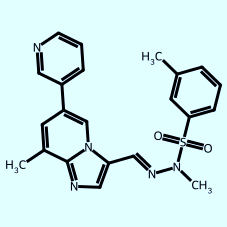 Cc1cccc(S(=O)(=O)N(C)N=Cc2cnc3c(C)cc(-c4cccnc4)cn23)c1